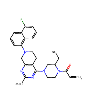 C=CC(=O)N1CCN(c2nc(OC)nc3c2CCN(c2cccc4c(F)cccc24)C3)CC1CC#N